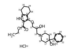 CCOC(=O)c1[nH]c2c(c1OCC(O)CN1CCC(O)(c3ccccc3)CC1)CCCC2.Cl